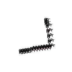 CCC[n+]1ccc(C)cc1.CCC[n+]1ccc(C)cc1.CCC[n+]1ccc(C)cc1.CCC[n+]1ccc(C)cc1.CCC[n+]1ccc(C)cc1.CCC[n+]1ccc(C)cc1.CCC[n+]1ccc(C)cc1.CCC[n+]1ccc(C)cc1.CCC[n+]1ccc(C)cc1.CCC[n+]1ccc(C)cc1.CCC[n+]1ccc(C)cc1.CCC[n+]1ccc(C)cc1.O=P([O-])([O-])F.O=P([O-])([O-])F.O=P([O-])([O-])F.O=P([O-])([O-])F.O=P([O-])([O-])F.O=P([O-])([O-])F